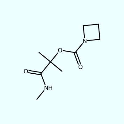 CNC(=O)C(C)(C)OC(=O)N1CCC1